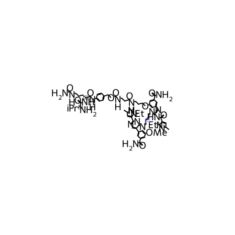 CCn1nc(C)cc1C(=O)Nc1nc2cc(C(N)=O)cc(OCCCNC(=O)CCNC(=O)OCc3ccc(NC(=O)[C@H](CCCNC(N)=O)NC(=O)[C@@H](N)C(C)C)cc3)c2n1C/C=C/Cn1c2nc(-c3cc(C)nn3CC)ncc2c2cc(C(N)=O)cc(OC)c21